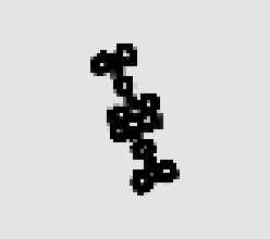 c1ccc(N(c2ccc(-n3c4ccccc4c4ccccc43)cc2)c2cnccc2-c2ccncc2N(c2ccccc2)c2ccc(-n3c4ccccc4c4ccccc43)cc2)cc1